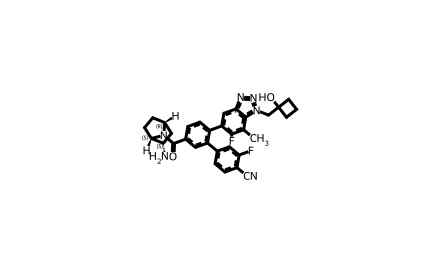 Cc1c(F)c(-c2ccc(C(=O)N3[C@@H]4CC[C@H]3[C@@H](N)C4)cc2-c2ccc(C#N)c(F)c2)cc2nnn(CC3(O)CCC3)c12